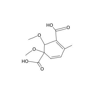 COC1C(C(=O)O)=C(C)C=CC1(OC)C(=O)O